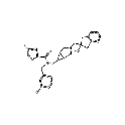 Cn1cnc(C(=O)N(Cc2cccc(Cl)c2)CC2C3CN(CC4(O)Cc5ccccc5C4)CC32)c1